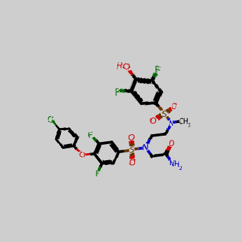 CN(CCN(CC(N)=O)S(=O)(=O)c1cc(F)c(Oc2ccc(Cl)cc2)c(F)c1)S(=O)(=O)c1cc(F)c(O)c(F)c1